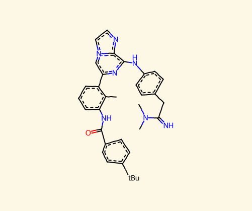 Cc1c(NC(=O)c2ccc(C(C)(C)C)cc2)cccc1-c1cn2ccnc2c(Nc2ccc(CC(=N)N(C)C)cc2)n1